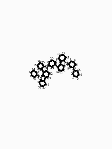 c1ccc(-c2cccc(-n3c4ccccc4c4c(-c5cccc(-n6c7ccccc7c7c6ccc6c8ccccc8n(-c8ccccc8)c67)c5)cccc43)c2)cc1